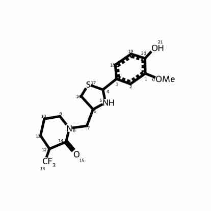 COc1cc(C2NC(CN3CCCC(C(F)(F)F)C3=O)CS2)ccc1O